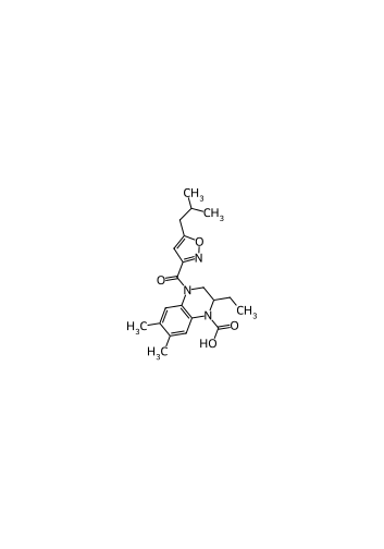 CCC1CN(C(=O)c2cc(CC(C)C)on2)c2cc(C)c(C)cc2N1C(=O)O